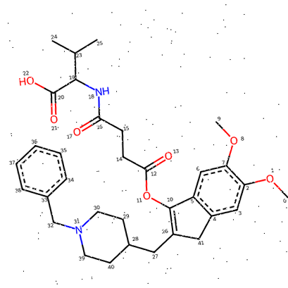 COc1cc2c(cc1OC)C(OC(=O)CCC(=O)NC(C(=O)O)C(C)C)=C(CC1CCN(Cc3ccccc3)CC1)C2